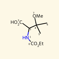 CCOC(=O)NC(C(=O)O)C(C)(C)OC